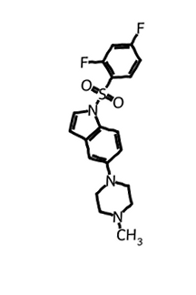 CN1CCN(c2ccc3c(ccn3S(=O)(=O)c3ccc(F)cc3F)c2)CC1